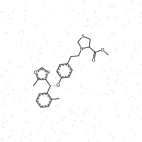 COC(=O)C1CSCN1CCc1ccc(O[C@H](c2ccccc2C)c2ncoc2C)cc1